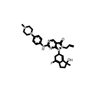 C=CCn1c(=O)c2cnc(Nc3ccc(N4CCN(C)CC4)cc3)nc2n1C1C=C2C(=C(F)C1)CCC2(C)O